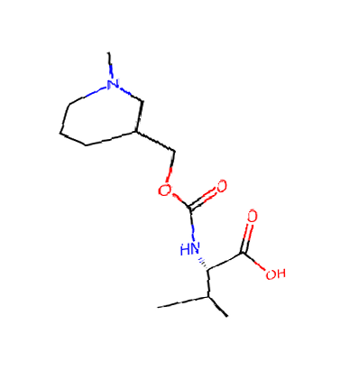 CC(C)[C@H](NC(=O)OCC1CCCN(C)C1)C(=O)O